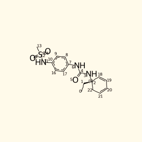 CC[C@@]1(NC(=O)Nc2ccc(NS(C)(=O)=O)cc2)C=CC=CC1